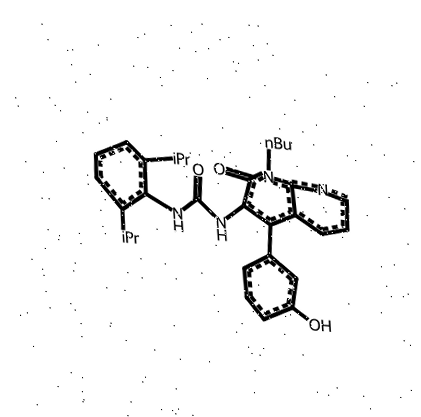 CCCCn1c(=O)c(NC(=O)Nc2c(C(C)C)cccc2C(C)C)c(-c2cccc(O)c2)c2cccnc21